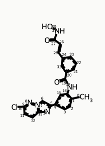 Cc1ccc(-c2cn3nc(Cl)ccc3n2)cc1NC(=O)c1cccc(C=CC(=O)NO)c1